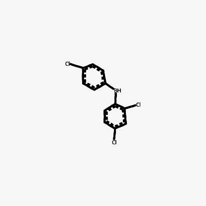 Clc1ccc(Bc2ccc(Cl)cc2Cl)cc1